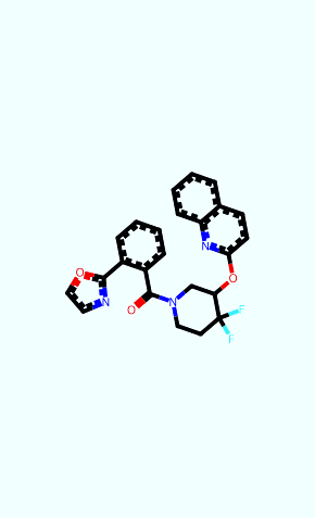 O=C(c1ccccc1-c1ncco1)N1CCC(F)(F)C(Oc2ccc3ccccc3n2)C1